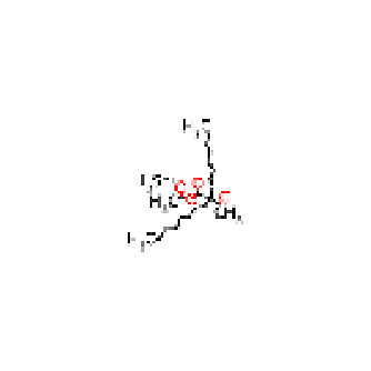 CCCCCCCCC(CCCCCCCC)(C(C)=O)C(=O)OC(C)=O.[SnH2]